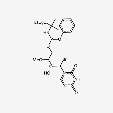 CCOC(=O)C(C)(C)NP(OCC(OC)[C@@H](O)C(Br)n1ccc(=O)[nH]c1=O)Oc1ccccc1